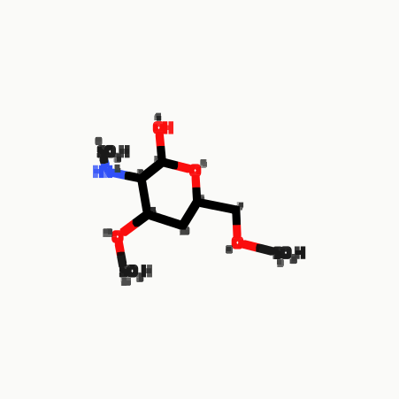 O=S(=O)(O)NC1C(O)OC(COS(=O)(=O)O)CC1OS(=O)(=O)O